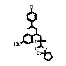 CCC1(OC(=O)C(C)(CC)CC(CC(C)c2ccc(O)cc2)c2ccc(C(C)(C)C)cc2)CCCC1